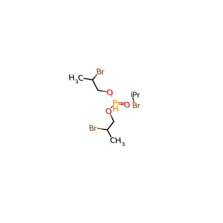 CC(Br)CO[PH](=O)OCC(C)Br.CC(C)Br